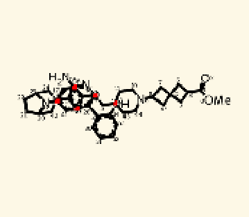 COC(=O)C1CC2(C1)CC(N1CCC(COc3ccc(N4C5CCC4CN(c4cc(-c6ccccc6O)nnc4N)C5)cn3)CC1)C2